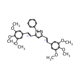 COc1cc(/C=C/c2cc(/C=C/c3cc(OC)c(OC)c(OC)c3)n(-c3ccccc3)n2)cc(OC)c1OC